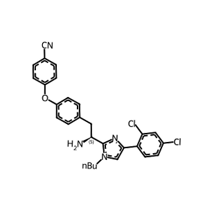 CCCCn1cc(-c2ccc(Cl)cc2Cl)nc1[C@@H](N)Cc1ccc(Oc2ccc(C#N)cc2)cc1